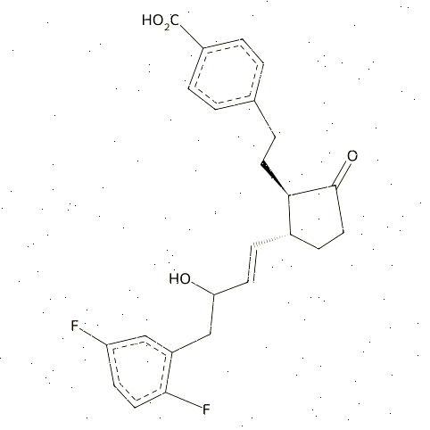 O=C(O)c1ccc(CC[C@H]2C(=O)CC[C@@H]2/C=C/C(O)Cc2cc(F)ccc2F)cc1